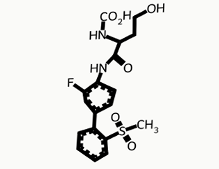 CS(=O)(=O)c1ccccc1-c1ccc(NC(=O)C(CCO)NC(=O)O)c(F)c1